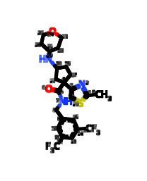 Cc1nc(C2(C(=O)NCc3cc(C(F)(F)F)cc(C(F)(F)F)c3)CCC(NC3CCOCC3)C2)cs1